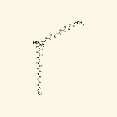 CCCCCCCCCCCCCCCCCC[N+]([O-])(O)CCCCCCCCCCCCCCCC